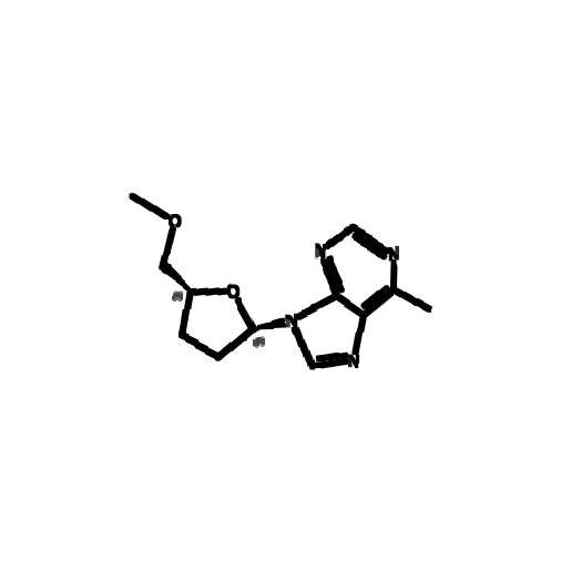 COC[C@@H]1CC[C@H](n2cnc3c(C)ncnc32)O1